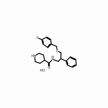 Cl.O=C(NCC(COCc1ccc(F)cc1)c1ccccc1)C1CCNCC1